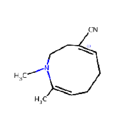 CC1=CCC/C=C(/C#N)CCN1C